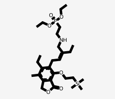 CCOP(=O)(CCNCC(=CCc1c(CC)c(C)c2c(c1OCC[Si](C)(C)C)C(=O)OC2)CC)OCC